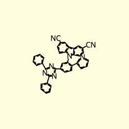 N#Cc1ccc2c(c1)c1cc(C#N)ccc1n2-c1cc(-c2nc(-c3ccccc3)nc(-c3ccccc3)n2)ccc1-c1cccnc1